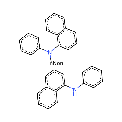 CCCCCCCCCN(c1ccccc1)c1cccc2ccccc12.c1ccc(Nc2cccc3ccccc23)cc1